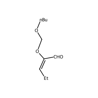 CC/C=C(\C=O)OCOCCCC